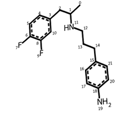 CC(Cc1ccc(F)c(F)c1)NCCCc1ccc(N)cc1